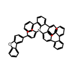 c1ccc(-c2cccc(-c3ccccc3)c2N(c2ccc(-c3ccc4oc5ccccc5c4c3)cc2)c2ccc3c4ccccc4c4ccccc4c3c2)cc1